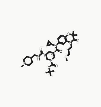 COCCCN1C(=O)C(C)(C)Oc2ccc(N(C(=O)[C@@H]3C[C@H](C(=O)NCC4CCN(C)CC4)CN(C(=O)OC(C)(C)C)C3)C3CC3)cc21